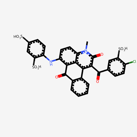 Cn1c(=O)c(C(=O)c2ccc(Cl)c(S(=O)(=O)O)c2)c2c3c(c(Nc4ccc(S(=O)(=O)O)cc4S(=O)(=O)O)ccc31)C(=O)c1ccccc1-2